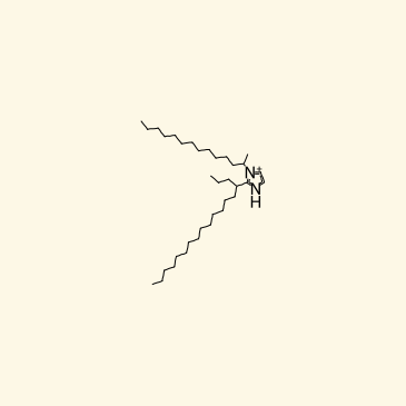 CCCCCCCCCCCCCCC(CCC)c1[nH]cc[n+]1C(C)CCCCCCCCCCCC